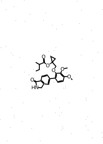 CCC(C)C(=O)OC1(COc2c(-c3ccc4c(c3)CNC4=O)ccc(OC)c2OC)CC1